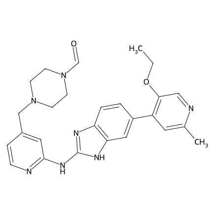 CCOc1cnc(C)cc1-c1ccc2nc(Nc3cc(CN4CCN(C=O)CC4)ccn3)[nH]c2c1